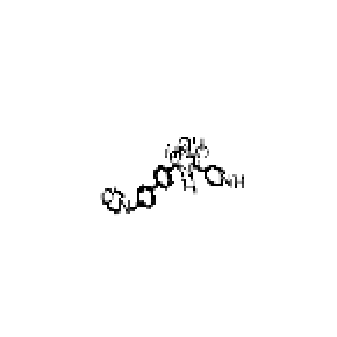 O=C(N[C@H](C(=O)NO)C1CCNCC1)c1ccc(-c2ccc(CN3CCOCC3)cc2)cc1